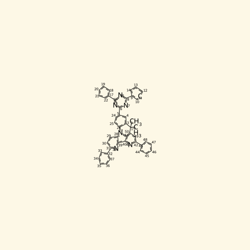 CC1(C)c2cc(-c3nc(-c4ccccc4)nc(-c4ccccc4)n3)ccc2-n2c3ccc(-c4ccccc4)nc3c3nc(-c4ccccc4)cc1c32